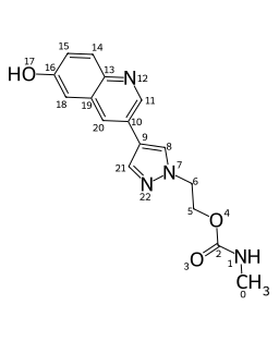 CNC(=O)OCCn1cc(-c2cnc3ccc(O)cc3c2)cn1